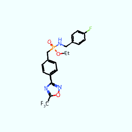 CCOP(=O)(Cc1ccc(-c2noc(C(F)(F)F)n2)cc1)NCc1ccc(F)cc1